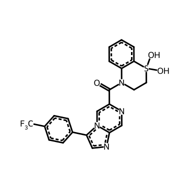 O=C(c1cn2c(-c3ccc(C(F)(F)F)cc3)cnc2cn1)N1CCS(O)(O)c2ccccc21